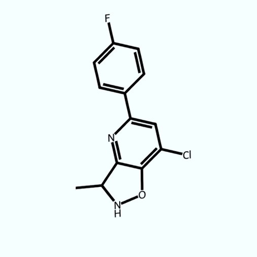 CC1NOc2c(Cl)cc(-c3ccc(F)cc3)nc21